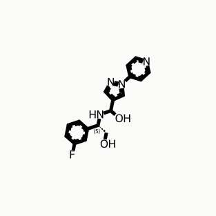 OC[C@@H](NC(O)c1cnn(-c2ccncc2)c1)c1cccc(F)c1